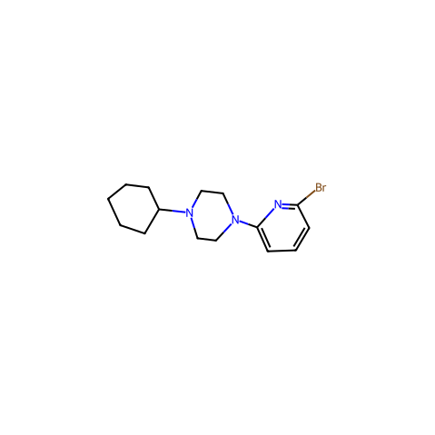 Brc1cccc(N2CCN(C3CCCCC3)CC2)n1